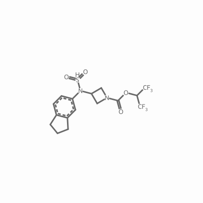 O=C(OC(C(F)(F)F)C(F)(F)F)N1CC(N(c2ccc3c(c2)CCC3)[SH](=O)=O)C1